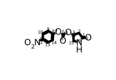 O=C1C[C@H](OC(=O)Oc2ccc([N+](=O)[O-])cc2)CN1